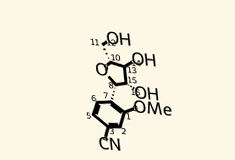 COc1cc(C#N)ccc1[C@@H]1O[C@H](CO)C(O)[C@@H]1O